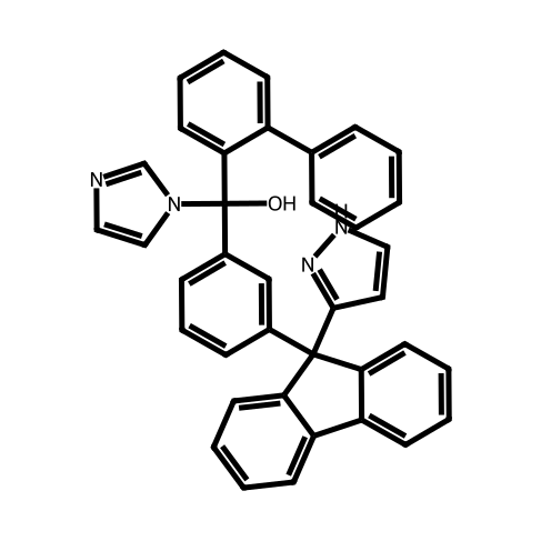 OC(c1cccc(C2(c3cc[nH]n3)c3ccccc3-c3ccccc32)c1)(c1ccccc1-c1ccccc1)n1ccnc1